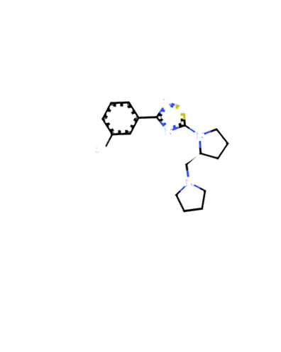 CC(=O)c1cccc(-c2nsc(N3CCC[C@H]3CN3CCCC3)n2)c1